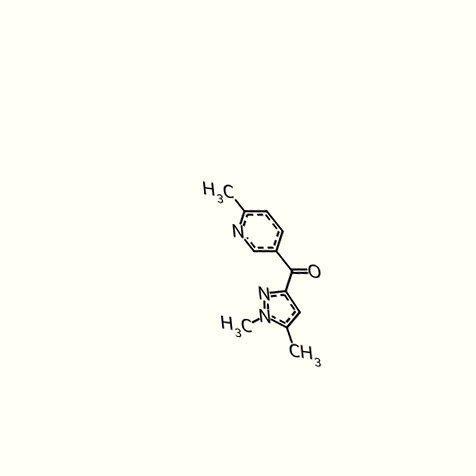 Cc1ccc(C(=O)c2cc(C)n(C)n2)cn1